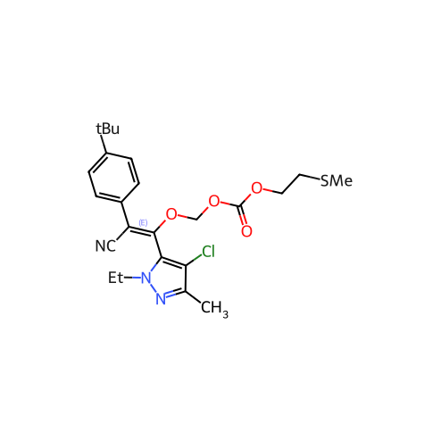 CCn1nc(C)c(Cl)c1/C(OCOC(=O)OCCSC)=C(\C#N)c1ccc(C(C)(C)C)cc1